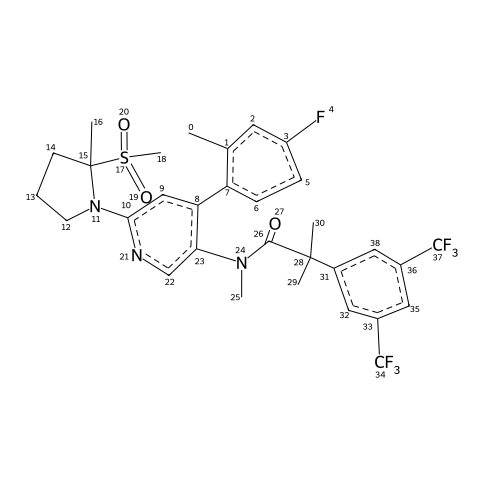 Cc1cc(F)ccc1-c1cc(N2CCCC2(C)S(C)(=O)=O)ncc1N(C)C(=O)C(C)(C)c1cc(C(F)(F)F)cc(C(F)(F)F)c1